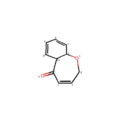 O=C1C=CCOC2C=CC=CC12